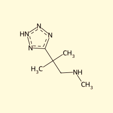 CNCC(C)(C)c1nn[nH]n1